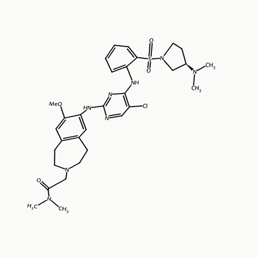 COc1cc2c(cc1Nc1ncc(Cl)c(Nc3ccccc3S(=O)(=O)N3CC[C@@H](N(C)C)C3)n1)CCN(CC(=O)N(C)C)CC2